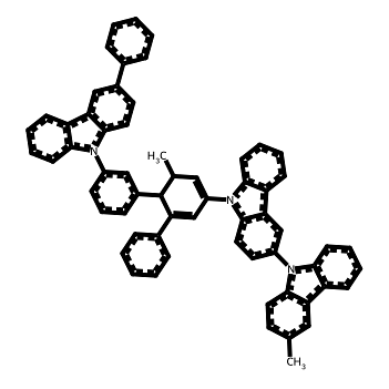 Cc1ccc2c(c1)c1ccccc1n2-c1ccc2c(c1)c1ccccc1n2C1=CC(C)C(c2cccc(-n3c4ccccc4c4cc(-c5ccccc5)ccc43)c2)C(c2ccccc2)=C1